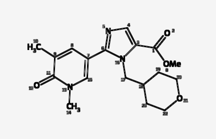 COC(=O)c1cnc(-c2cc(C)c(=O)n(C)c2)n1CC1CCOCC1